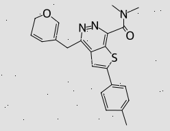 Cc1ccc(-c2cc3c(CC4=COCC=C4)nnc(C(=O)N(C)C)c3s2)cc1